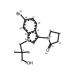 CC(C)(CO)Cn1cc(N2CCCC2=O)c2ccc(Br)cc21